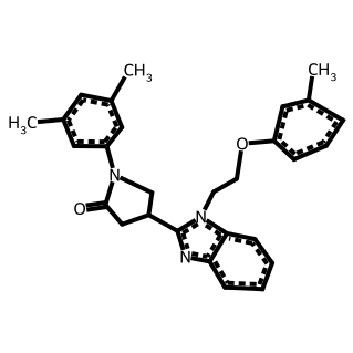 Cc1cccc(OCCn2c(C3CC(=O)N(c4cc(C)cc(C)c4)C3)nc3ccccc32)c1